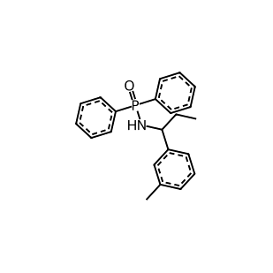 CCC(NP(=O)(c1ccccc1)c1ccccc1)c1cccc(C)c1